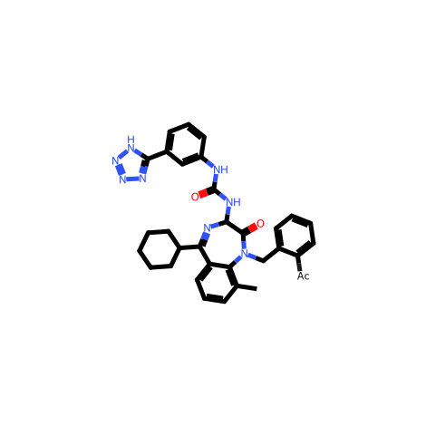 CC(=O)c1ccccc1CN1C(=O)C(NC(=O)Nc2cccc(-c3nnn[nH]3)c2)N=C(C2CCCCC2)c2cccc(C)c21